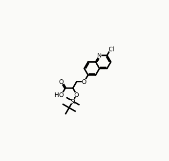 CC(C)(C)[Si](C)(C)OC(COc1ccc2nc(Cl)ccc2c1)C(=O)O